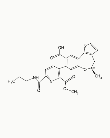 CCCNC(=O)c1ccc(-c2cc3c(cc2C(=O)O)-c2sccc2C[C@@H](C)O3)c(C(=O)OC)n1